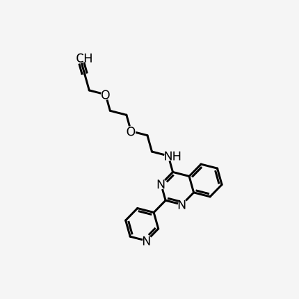 C#CCOCCOCCNc1nc(-c2cccnc2)nc2ccccc12